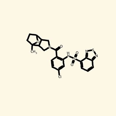 CC12CCC(O1)C1CN(C(=O)c3ccc(Cl)cc3NS(=O)(=O)c3cccc4nsnc34)CC12